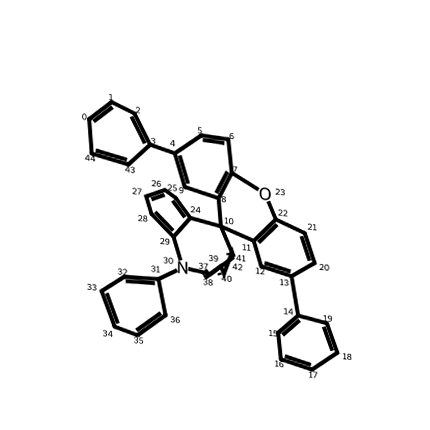 c1ccc(-c2ccc3c(c2)C2(c4cc(-c5ccccc5)ccc4O3)c3ccccc3N(c3ccccc3)c3ccccc32)cc1